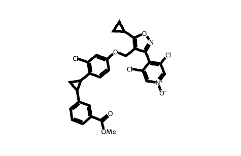 COC(=O)c1cccc(C2CC2c2ccc(OCc3c(-c4c(Cl)c[n+]([O-])cc4Cl)noc3C3CC3)cc2Cl)c1